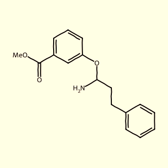 COC(=O)c1cccc(OC(N)CCc2ccccc2)c1